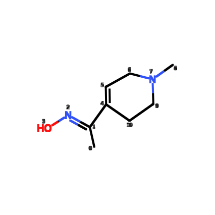 C/C(=N\O)C1=CCN(C)CC1